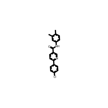 Cc1ccc(NC(=O)c2ccc(-c3ccc(Cl)cc3)nc2)cc1C